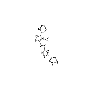 Cc1cc(-c2nnc(C(C)Sc3nnc(-c4ccccn4)n3C3CC3)o2)ccn1